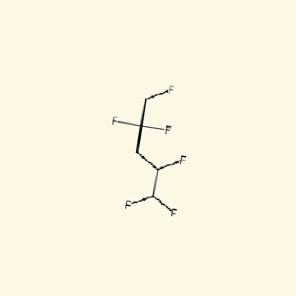 F[CH]C(F)(F)CC(F)C(F)F